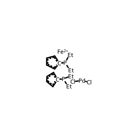 CCP(CC)[c-]1cccc1.CCP(CC)[c-]1cccc1.[Cl][Pd][Cl].[Fe+2]